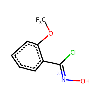 O/N=C(\Cl)c1ccccc1OC(F)(F)F